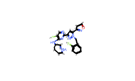 Fc1ccccc1Cn1nc(-c2ncc(F)c(NC3CCCNC3)n2)cc1-c1ccon1